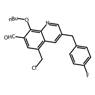 CCCCOc1c(C=O)cc(CCl)c2cc(Cc3ccc(F)cc3)cnc12